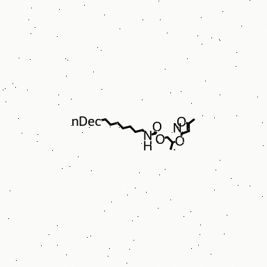 [CH2]C(COC(=O)NCCCCCCCCCCCCCCCCC)Oc1cc(C)on1